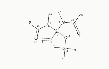 C=C[Si](O[Si](C)(C)C)(N(C)C(C)=O)N(C)C(C)=O